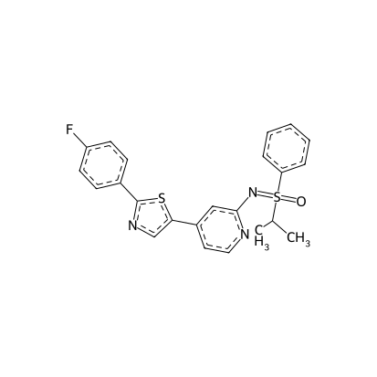 CC(C)S(=O)(=Nc1cc(-c2cnc(-c3ccc(F)cc3)s2)ccn1)c1ccccc1